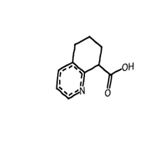 O=C(O)C1CCCc2cccnc21